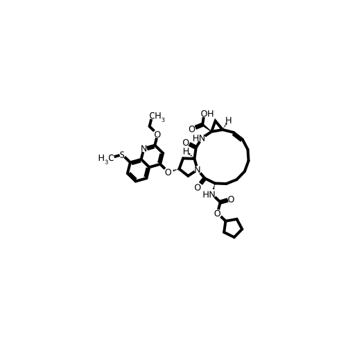 CCOc1cc(O[C@@H]2C[C@H]3C(=O)N[C@]4(C(=O)O)C[C@H]4/C=C\CCCCC[C@H](NC(=O)OC4CCCC4)C(=O)N3C2)c2cccc(SC)c2n1